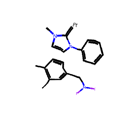 Cc1ccc(CN(I)I)cc1C.Cn1ccn(-c2ccccc2)[c]1=[Pt]